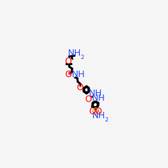 CC(C)(N)COC(C)(C)CCC(=O)NCCCCOc1ccc(NC(=O)Nc2ccc(S(N)(=O)=O)cc2)cc1